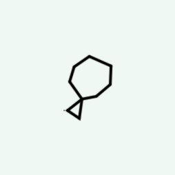 [CH]1CC12CCCCCC2